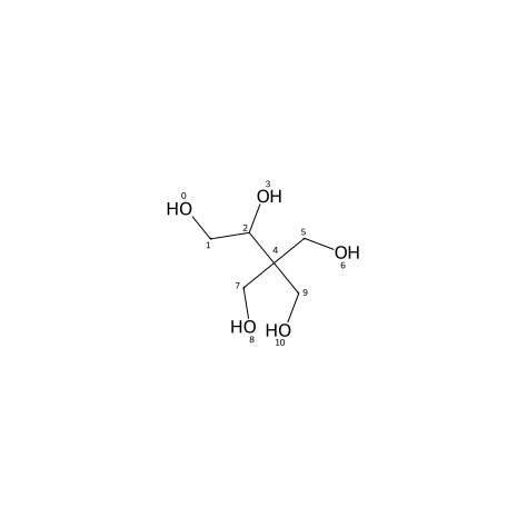 OCC(O)C(CO)(CO)CO